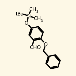 CC(C)(C)[Si](C)(C)Oc1ccc(OCc2ccccc2)c(C=O)c1